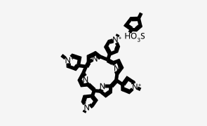 C[n+]1ccc(C2=C3C=CC(=N3)C(c3cc[n+](C)cc3)=C3C=CC(=N3)C(c3cc[n+](C)cc3)=C3C=CC(=N3)C(c3cc[n+](C)cc3)=C3C=CC2=N3)cc1.Cc1ccc(S(=O)(=O)O)cc1